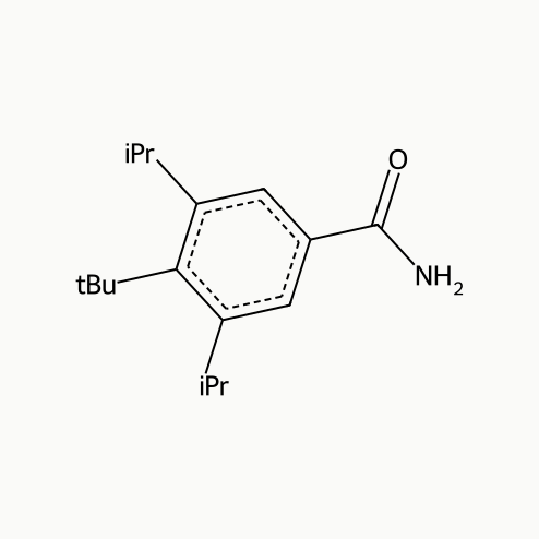 CC(C)c1cc(C(N)=O)cc(C(C)C)c1C(C)(C)C